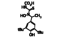 CC(c1cc(C(C)(C)C)c(O)c(C(C)(C)C)c1)N(O)C(=S)NC(=O)O